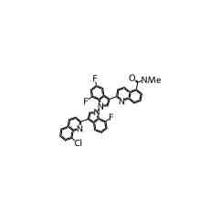 CNC(=O)c1cccc2nc(-c3cn(-n4cc(-c5ccc6cccc(Cl)c6n5)c5cccc(F)c54)c4c(F)cc(F)cc34)ccc12